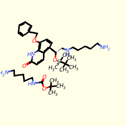 CC(C)(C)OC(=O)NCCCCCN.CC(C)(C)[Si](C)(C)O[C@@H](CNCCCCCN)c1ccc(OCc2ccccc2)c2[nH]c(=O)ccc12